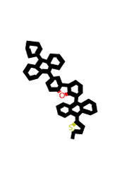 Cc1ccc(-c2c3ccccc3c(-c3cccc4c3oc3ccc(-c5c6ccccc6c(-c6ccccc6)c6ccccc56)cc34)c3ccccc23)s1